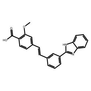 COc1cc(C=Cc2cccc(-c3nc4ccccc4[nH]3)c2)ccc1C(=O)O